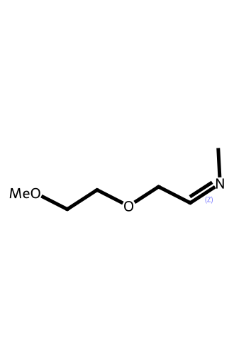 C/N=C\COCCOC